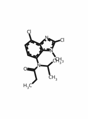 CCC(=O)N(c1ccc(Cl)c2nc(Cl)n(C)c12)C(C)C